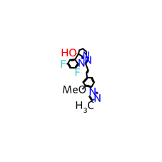 COc1cc(/C=C/c2nc3n(n2)CCC[C@]3(O)c2cc(F)cc(F)c2)ccc1-n1cnc(C)c1